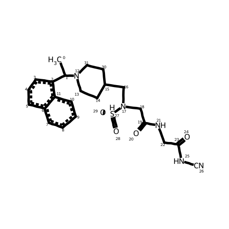 CC(c1cccc2ccccc12)N1CCC(CN(CC(=O)NCC(=O)NC#N)[SH](=O)=O)CC1